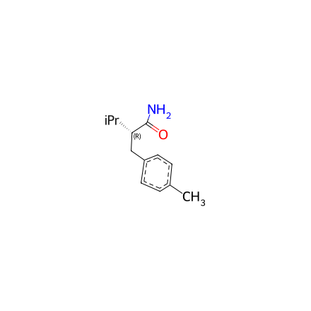 Cc1ccc(C[C@@H](C(N)=O)C(C)C)cc1